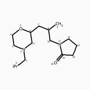 CC(C)CN1CCOC(CC(C)CN2CCCC2=O)C1